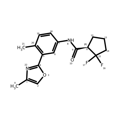 Cc1coc(-c2cc(NC(=O)[C@H]3CCCC3(F)F)ccc2C)n1